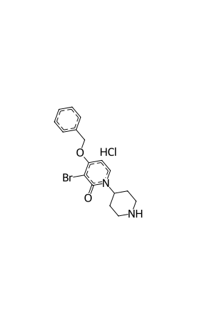 Cl.O=c1c(Br)c(OCc2ccccc2)ccn1C1CCNCC1